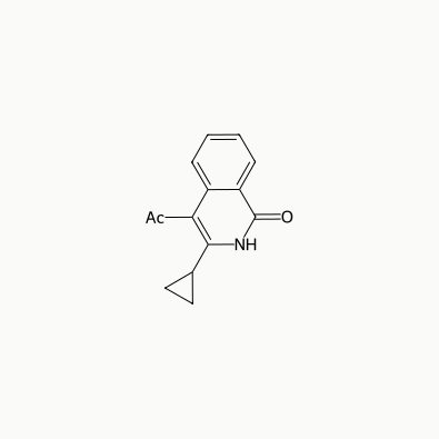 CC(=O)c1c(C2CC2)[nH]c(=O)c2ccccc12